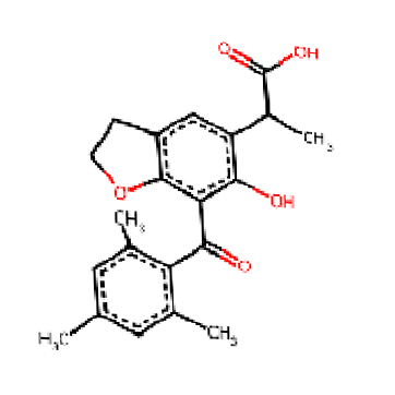 Cc1cc(C)c(C(=O)c2c(O)c(C(C)C(=O)O)cc3c2OCC3)c(C)c1